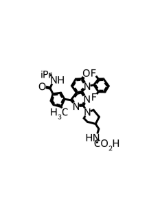 Cc1ccc(C(=O)NC(C)C)cc1-c1nc(N2CCC(CNC(=O)O)CC2)nc2c1ccc(=O)n2-c1c(F)cccc1F